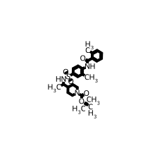 Cc1cc(S(=O)(=O)NC(C)C2CCN(C(=O)OC(C)(C)C)CC2)ccc1NC(=O)c1ccccc1C